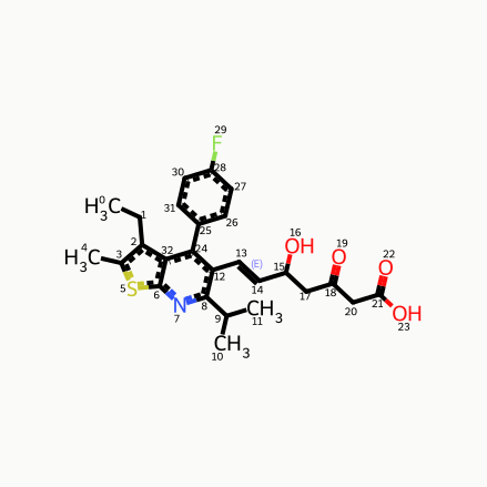 CCc1c(C)sc2nc(C(C)C)c(/C=C/C(O)CC(=O)CC(=O)O)c(-c3ccc(F)cc3)c12